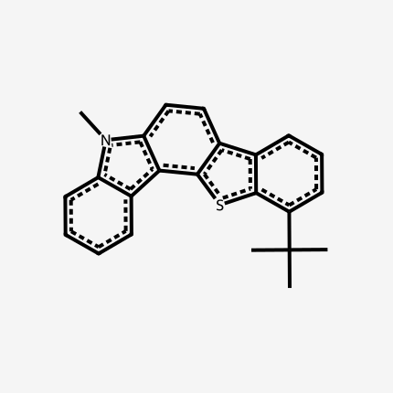 Cn1c2ccccc2c2c3sc4c(C(C)(C)C)cccc4c3ccc21